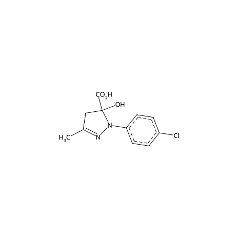 CC1=NN(c2ccc(Cl)cc2)C(O)(C(=O)O)C1